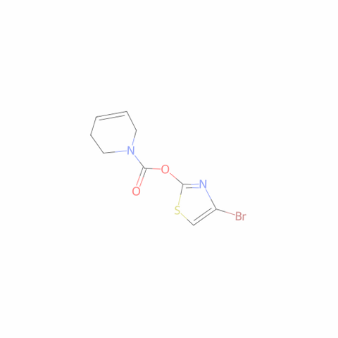 O=C(Oc1nc(Br)cs1)N1CC=CCC1